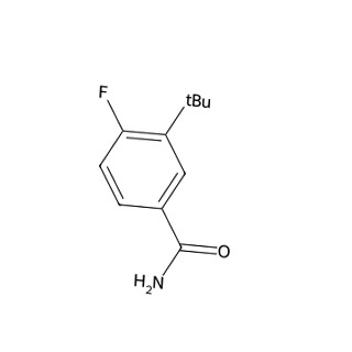 CC(C)(C)c1cc(C(N)=O)ccc1F